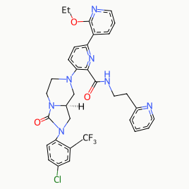 CCOc1ncccc1-c1ccc(N2CCN3C(=O)N(c4ccc(Cl)cc4C(F)(F)F)C[C@@H]3C2)c(C(=O)NCCc2ccccn2)n1